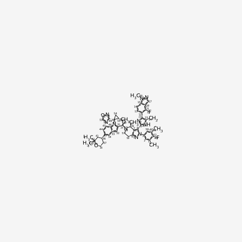 Cc1cc(-n2nc3c(c2-c2nc(-c4ccc5c(cnn5C)c4F)c(C)[nH]2)[C@H](C)N(C(=O)c2cc4cc([C@H]5CCOC(C)(C)C5)ccc4n2[C@@]2(c4ncon4)C[C@@H]2C)CC3)cc(C)c1F